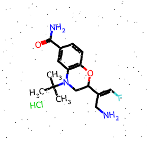 CC(C)(C)N1CC(C(=CF)CN)Oc2ccc(C(N)=O)cc21.Cl